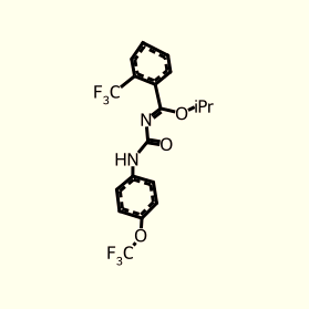 CC(C)O/C(=N\C(=O)Nc1ccc(OC(F)(F)F)cc1)c1ccccc1C(F)(F)F